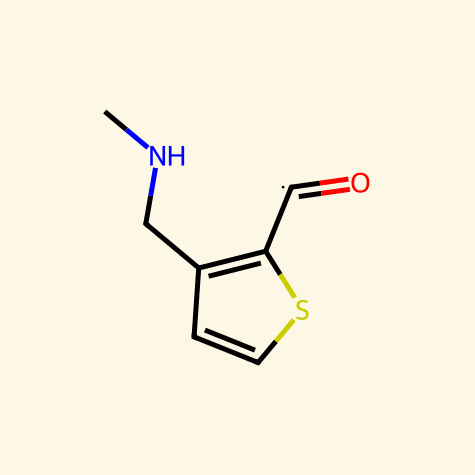 CNCc1ccsc1[C]=O